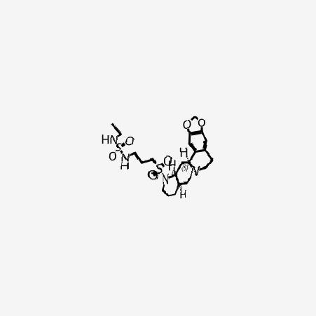 CCNS(=O)(=O)NCCCS(=O)(=O)N1CCC[C@@H]2CN3CCc4cc5c(cc4[C@@H]3C[C@@H]21)OCO5